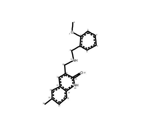 COc1ccccc1CNCc1cc2cc(C)ccc2[nH]c1=O